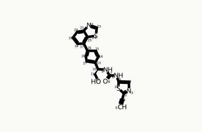 C#Cc1ncc(NC(=O)N[C@@H](CO)c2ccc(-c3cccc4ncsc34)cc2)s1